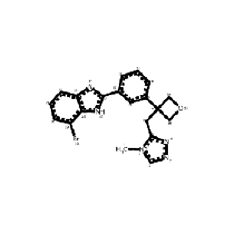 Cn1cnnc1CC1(c2cccc(-c3nc4cccc(Br)c4[nH]3)c2)COC1